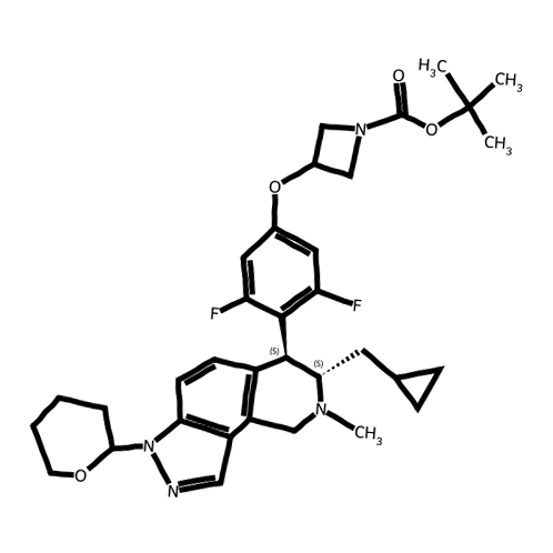 CN1Cc2c(ccc3c2cnn3C2CCCCO2)[C@@H](c2c(F)cc(OC3CN(C(=O)OC(C)(C)C)C3)cc2F)[C@@H]1CC1CC1